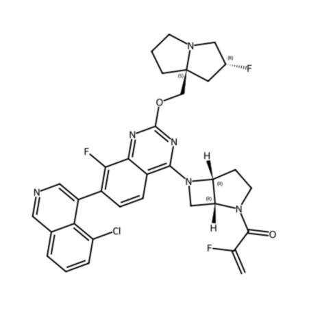 C=C(F)C(=O)N1CC[C@@H]2[C@H]1CN2c1nc(OC[C@@]23CCCN2C[C@H](F)C3)nc2c(F)c(-c3cncc4cccc(Cl)c34)ccc12